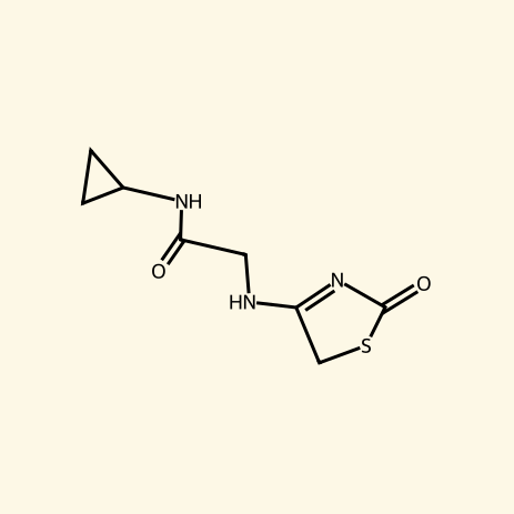 O=C(CNC1=NC(=O)SC1)NC1CC1